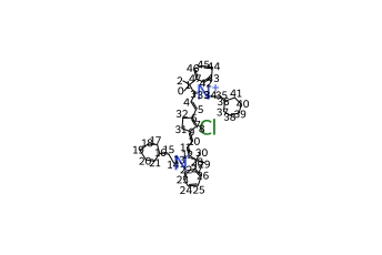 CC1(C)C(/C=C/C2=C(Cl)C(=C/C=C3/N(CCC4CCCCC4)c4ccccc4C3(C)C)/CC2)=[N+](CCC2CCCCC2)c2ccccc21